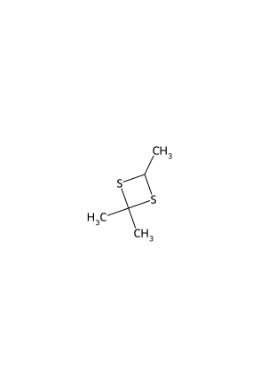 CC1SC(C)(C)S1